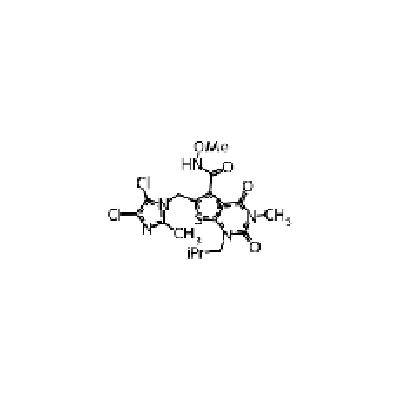 CONC(=O)c1c(Cn2c(C)nc(Cl)c2Cl)sc2c1c(=O)n(C)c(=O)n2CC(C)C